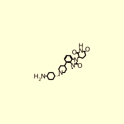 Cn1c(=O)n(C2CCC(=O)NC2=O)c2cccc(C3CCN(C[C@H]4CC[C@H](N)CC4)CC3)c21